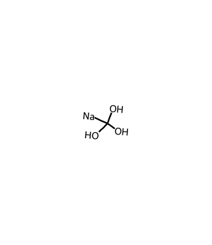 O[C](O)(O)[Na]